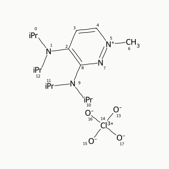 CC(C)N(c1cc[n+](C)nc1N(C(C)C)C(C)C)C(C)C.[O-][Cl+3]([O-])([O-])[O-]